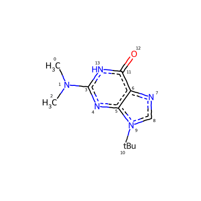 CN(C)c1nc2c(ncn2C(C)(C)C)c(=O)[nH]1